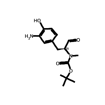 CN(C(=O)OC(C)(C)C)[C@H](C=O)Cc1ccc(O)c(N)c1